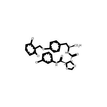 O=C(O)[C@H](Cc1ccc(OCc2c(Cl)cccc2Cl)cc1)NC(=O)[C@@H]1OCO[C@H]1C(=O)Nc1cccc(Cl)c1